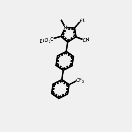 CCOC(=O)c1c(-c2ccc(-c3ccccc3C(F)(F)F)cc2)c(C#N)c(CC)n1C